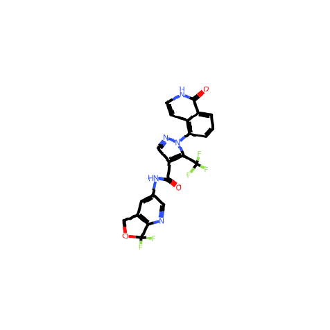 O=C(Nc1cnc2c(c1)COC2(F)F)c1cnn(-c2cccc3c(=O)[nH]ccc23)c1C(F)(F)F